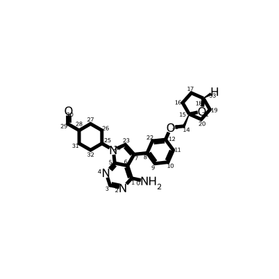 Nc1ncnc2c1c(-c1cccc(OC[C@]34CC[C@H](CC3)O4)c1)cn2C1CCC(C=O)CC1